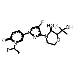 CC(O)(C(=O)O)C1OCCN(c2nn(-c3ccc(=O)n(C(F)F)c3)cc2F)C1=O